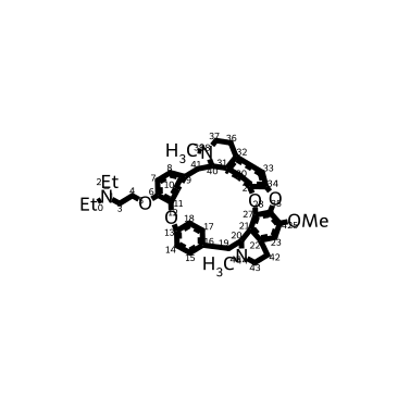 CCN(CC)CCOc1ccc2cc1Oc1ccc(cc1)CC1c3c(cc(OC)c4c3Oc3cc5c(cc3O4)CCN(C)C5C2)CCN1C